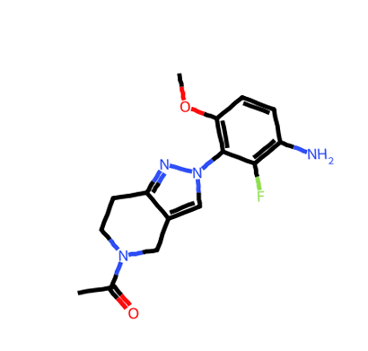 COc1ccc(N)c(F)c1-n1cc2c(n1)CCN(C(C)=O)C2